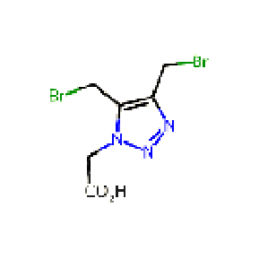 O=C(O)Cn1nnc(CBr)c1CBr